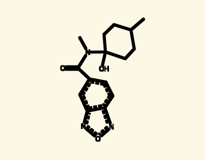 CC1CCC(O)(N(C)C(=O)c2ccc3nonc3c2)CC1